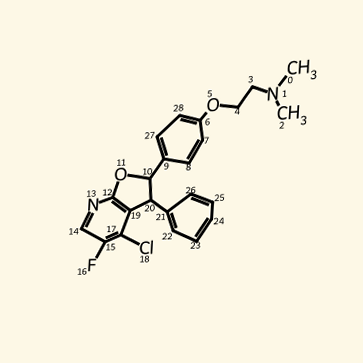 CN(C)CCOc1ccc(C2Oc3ncc(F)c(Cl)c3C2c2ccccc2)cc1